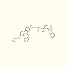 CS(=O)(=O)N(Cc1ccccc1)c1cccc([C@@H](O)CNCCOc2ccc3c4ccc(OCC5CCCC5)cc4n(Cc4ccccc4)c3c2)c1